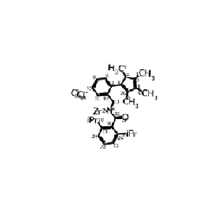 CC1=C(C)C(C)C(c2ccccc2C[N]([Zr+2])C(=O)c2c(C(C)C)cccc2C(C)C)=C1C.[Cl-].[Cl-]